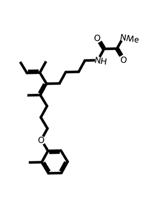 CC=C(C)/C(CCCCNC(=O)C(=O)NC)=C(\C)CCCOc1ccccc1C